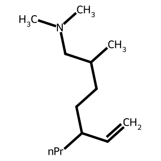 C=CC(CCC)CCC(C)CN(C)C